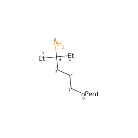 CCCCCCCCC(P)(CC)CC